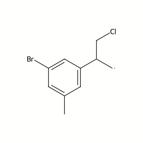 [CH2]C(CCl)c1cc(C)cc(Br)c1